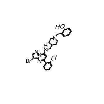 Oc1ccccc1CN1CCC(CNc2cc(-c3ccccc3Cl)nc3c(Br)cnn23)CC1